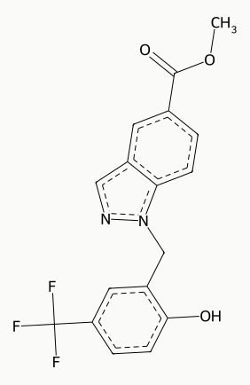 COC(=O)c1ccc2c(cnn2Cc2cc(C(F)(F)F)ccc2O)c1